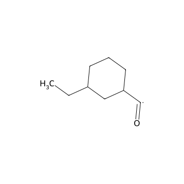 CCC1CCCC([C]=O)C1